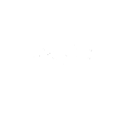 C[C@H](NC(=O)[C@H]1C[C@H](c2ccccc2)CN1)C(=O)NCc1ccc(C(=N)N)cc1Cl